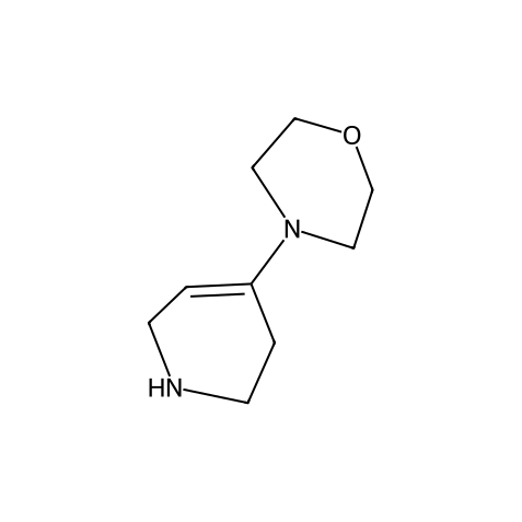 C1=C(N2CCOCC2)CCNC1